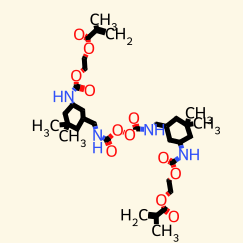 C=C(C)C(=O)OCCOC(=O)NC1CC(CNC(=O)OOC(=O)NCC2CC(NC(=O)OCCOC(=O)C(=C)C)CC(C)(C)C2)CC(C)(C)C1